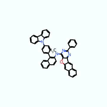 CN(c1ccc2ccccc2c1-c1ccc(-n2c3ccccc3c3ccccc32)cc1)c1nc(-c2ccccc2)nc2c1oc1cc3ccccc3cc12